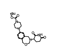 CC(C)(C)OC(=O)N1CCN(c2ccc3c(c2)CN(C2CCC(=O)NC2=O)COC3)CC1